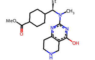 CC[C@H](C1CCC(C(=O)OC)CC1)N(C)c1nc(O)c2c(n1)CCNC2